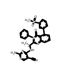 C[C@@H](Nc1nc(N)ncc1C#N)c1nc2cccc(-c3cccc(S(C)(=O)=O)c3)c2c(=O)n1-c1ccccc1